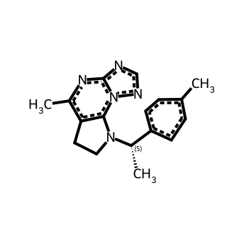 Cc1ccc([C@H](C)N2CCc3c(C)nc4ncnn4c32)cc1